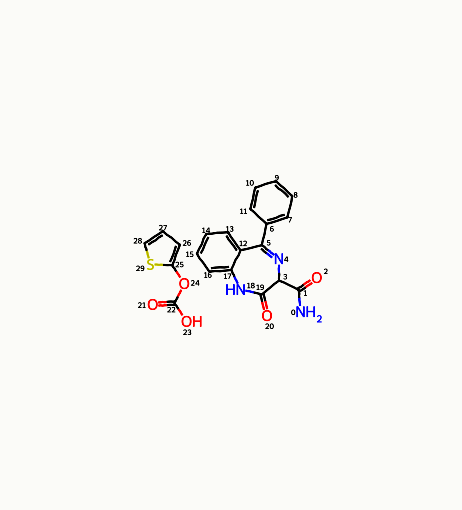 NC(=O)C1N=C(c2ccccc2)c2ccccc2NC1=O.O=C(O)Oc1cccs1